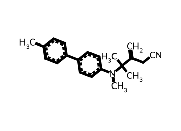 C=C(CC#N)C(C)(C)N(C)c1ccc(-c2ccc(C)cc2)cc1